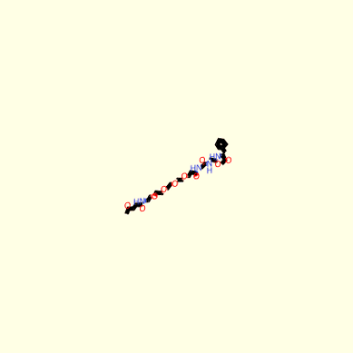 CC(=O)CCC(=O)NCCOCCOCCOCCOCCC(=O)NCC(=O)NCC(=O)N[C@@H](Cc1ccccc1)C(C)=O